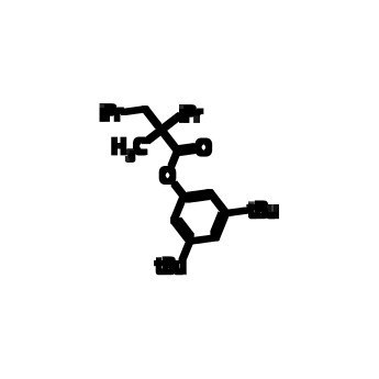 CC(C)CC(C)(C(=O)Oc1cc(C(C)(C)C)cc(C(C)(C)C)c1)C(C)C